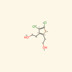 OCCc1sc(Cl)c(Cl)c1CCO